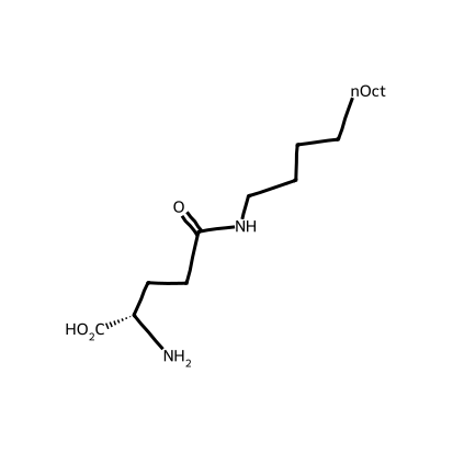 CCCCCCCCCCCCNC(=O)CC[C@H](N)C(=O)O